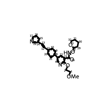 COCCOc1ncc(-c2ccc(C#Cc3cccnc3)cc2)cc1C(=O)NOC1CCCCO1